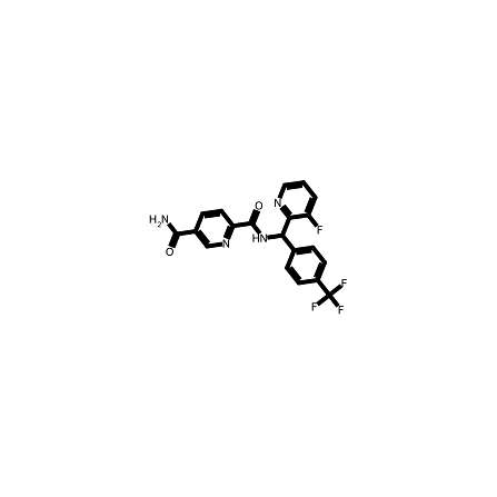 NC(=O)c1ccc(C(=O)NC(c2ccc(C(F)(F)F)cc2)c2ncccc2F)nc1